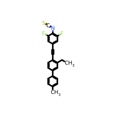 CCc1cc(-c2ccc(C)cc2)ccc1C#Cc1cc(F)c(N=C=S)c(F)c1